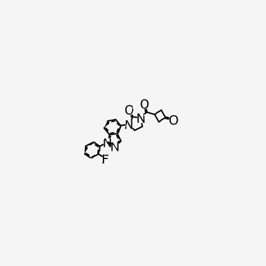 O=C1CC(C(=O)N2CCN(c3cccc4c3cnn4-c3ccccc3F)C2=O)C1